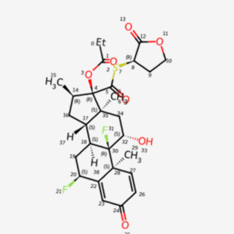 CCC(=O)O[C@]1(C(=O)S[C@@H]2CCOC2=O)[C@H](C)C[C@H]2[C@@H]3C[C@H](F)C4=CC(=O)C=C[C@]4(C)[C@@]3(F)[C@@H](O)C[C@@]21C